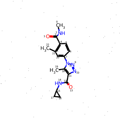 CNC(=O)c1ccc(-n2nnc(C(=O)NC3CC3)c2C)cc1C